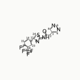 O=C(Cc1cncnc1)Nc1nc(-c2ccc(F)c(C(F)(F)F)c2)cs1